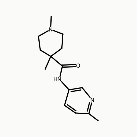 Cc1ccc(NC(=O)C2(C)CCN(C)CC2)cn1